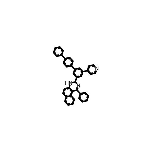 c1ccc(C2=NC(c3cc(-c4ccncc4)cc(-c4ccc(-c5ccccc5)cc4)c3)Nc3ccc4ccccc4c32)cc1